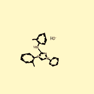 Cc1ccccc1Nc1n[n+](-c2ccccc2)cn1-c1ccccc1C.[OH-]